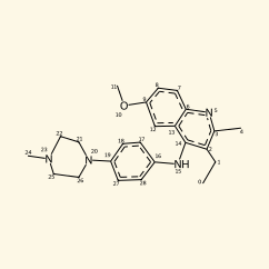 CCc1c(C)nc2ccc(OC)cc2c1Nc1ccc(N2CCN(C)CC2)cc1